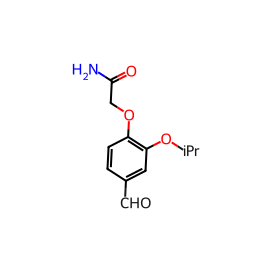 CC(C)Oc1cc(C=O)ccc1OCC(N)=O